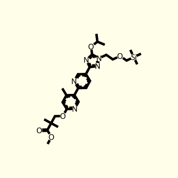 COC(=O)C(C)(C)COc1cc(C)c(-c2ccc(-c3nc(OC(C)C)n(CCOC[Si](C)(C)C)n3)cn2)cn1